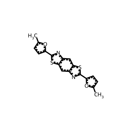 Cc1ccc(-c2nc3cc4sc(-c5ccc(C)o5)nc4cc3s2)o1